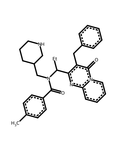 CCC(c1nc2ccccn2c(=O)c1Cc1ccccc1)N(CC1CCCNC1)C(=O)c1ccc(C)cc1